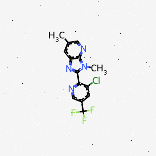 Cc1cnc2c(c1)nc(-c1ncc(C(F)(F)F)cc1Cl)n2C